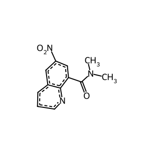 CN(C)C(=O)c1cc([N+](=O)[O-])cc2cccnc12